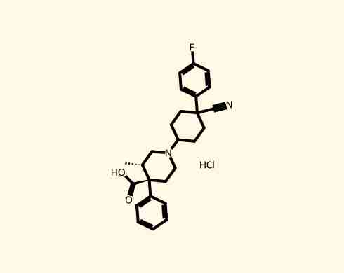 C[C@@H]1CN(C2CCC(C#N)(c3ccc(F)cc3)CC2)CC[C@]1(C(=O)O)c1ccccc1.Cl